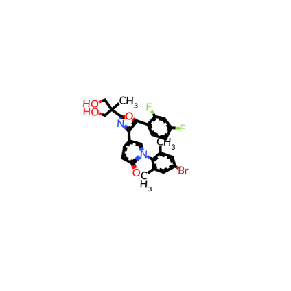 Cc1cc(Br)cc(C)c1-n1cc(-c2nc(C(C)(CO)CO)oc2-c2ccc(F)cc2F)ccc1=O